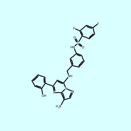 Bc1cnn2c(NCc3cccc(NS(=O)(=O)c4ccc(F)cc4F)c3)cc(-c3ccccc3O)nc12